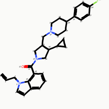 C=CCn1ccc2cccc(C(=O)N3CC(CN4CCC(c5ccc(F)cc5)CC4)C(C4CC4)C3)c21